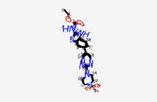 CCOC(=O)Nc1nc2cc(-c3cnc(N4CCN(S(C)(=O)=O)CC4)nc3)ccc2[nH]1